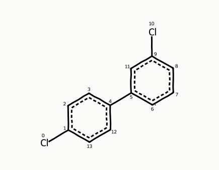 Clc1ccc(-c2[c]ccc(Cl)c2)cc1